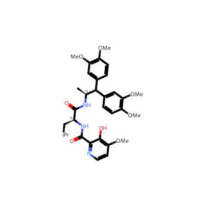 COc1ccc(C(c2ccc(OC)c(OC)c2)[C@H](C)NC(=O)[C@H](CC(C)C)NC(=O)c2nccc(OC)c2O)cc1OC